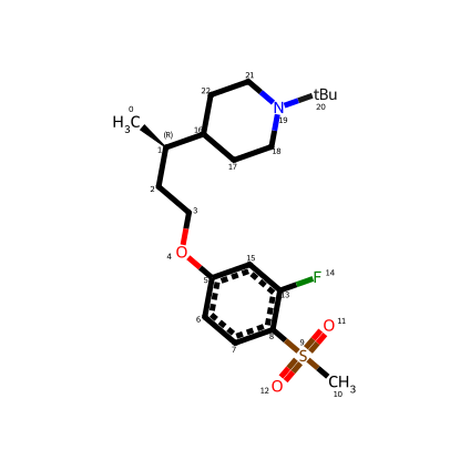 C[C@H](CCOc1ccc(S(C)(=O)=O)c(F)c1)C1CCN(C(C)(C)C)CC1